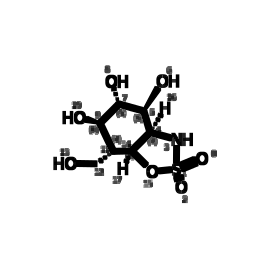 O=S1(=O)N[C@@H]2[C@H](O)[C@@H](O)[C@H](O)[C@@H](CO)[C@@H]2O1